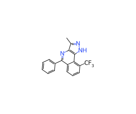 Cc1n[nH]c2c1nc(-c1ccccc1)c1cccc(C(F)(F)F)c12